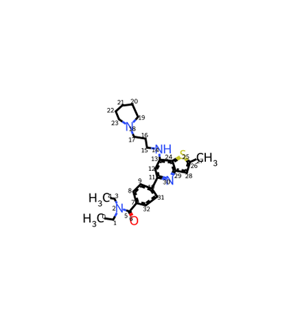 CCN(CC)C(=O)c1ccc(-c2cc(NCCCN3CCCCC3)c3sc(C)cc3n2)cc1